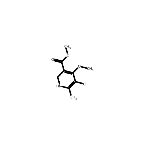 COC(=O)C1=C(OC)C(Cl)=C(C)NC1